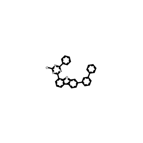 Clc1nc(-c2ccccc2)nc(-c2cccc3c2oc2cc(-c4cccc(-c5ccccc5)c4)ccc23)n1